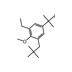 CCc1cc(C(C)(C)I)cc(CC(C)(C)C)c1OC